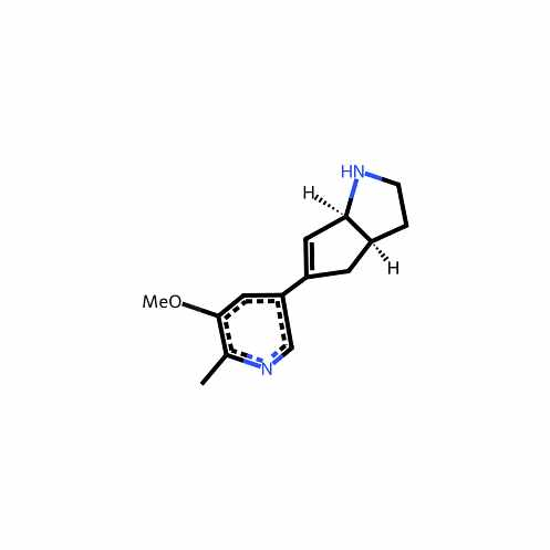 COc1cc(C2=C[C@H]3NCC[C@H]3C2)cnc1C